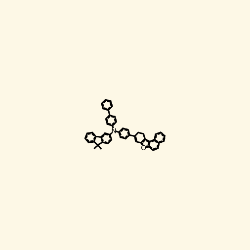 CC1(C)c2ccccc2-c2cc(N(c3ccc(C4=Cc5oc6ccc7ccccc7c6c5CC4)cc3)c3ccc(-c4ccccc4)cc3)ccc21